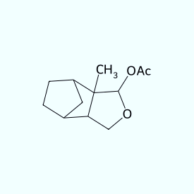 CC(=O)OC1OCC2C3CCC(C3)C12C